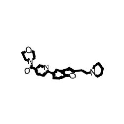 O=C(c1ccc(-c2ccc3oc(CCN4CCCCC4)cc3c2)nc1)N1CCOCC1